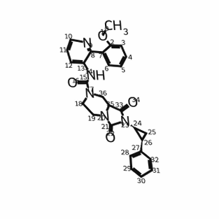 COc1ccccc1-c1ncccc1NC(=O)N1CCN2C(=O)N([C@@H]3C[C@H]3c3ccccc3)C(=O)C2C1